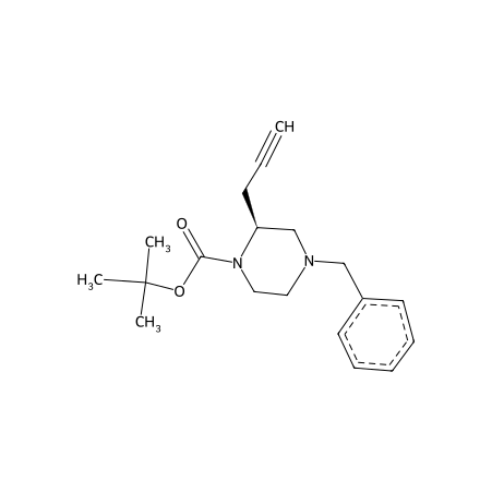 C#CC[C@H]1CN(Cc2ccccc2)CCN1C(=O)OC(C)(C)C